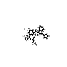 C=CCOc1c([Si](C)(C)C)cc(C)cc1[Si](C)(C)C1C=C(N2CCCC2)c2ccccc21